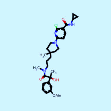 COc1cccc(C(O)(C(=O)N(C)CCCC2(C)CCN(c3ccc(C(=O)NC4CC4)c(Cl)n3)CC2)C(F)(F)F)c1